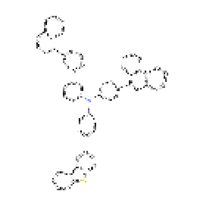 c1cc(-c2cccc(N(c3ccc(-c4ccc5sc6ccccc6c5c4)cc3)c3ccc(-c4cc5ccccc5c5ccccc45)cc3)c2)cc(-c2cccc3ccccc23)c1